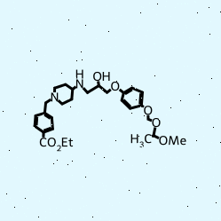 CCOC(=O)c1ccc(CN2CCC(NCC(O)COc3ccc(OCOC(C)OC)cc3)CC2)cc1